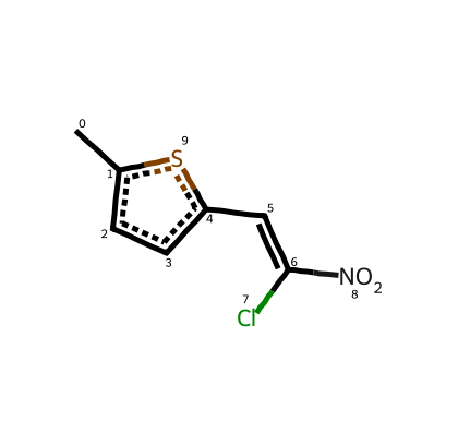 Cc1ccc(/C=C(\Cl)[N+](=O)[O-])s1